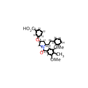 COc1cc(C(=O)N2C[C@@H](Oc3cccc(C(=O)O)c3)CC2CCc2ccccc2)cc(OC)c1C